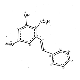 COc1cc(O)c(C(=O)O)c(C=Cc2ccccc2)c1